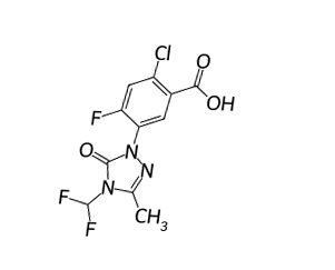 Cc1nn(-c2cc(C(=O)O)c(Cl)cc2F)c(=O)n1C(F)F